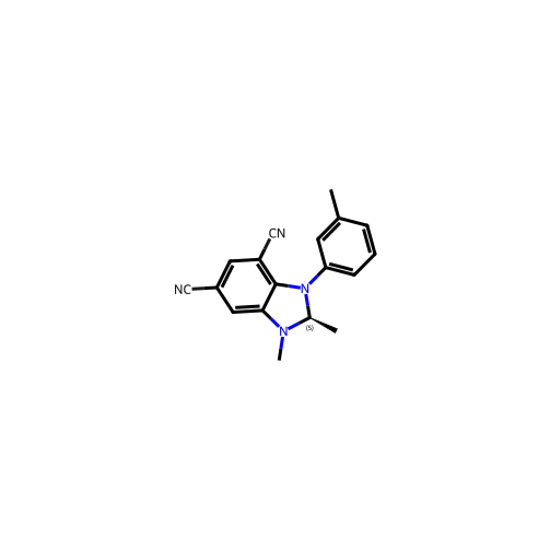 Cc1cccc(N2c3c(C#N)cc(C#N)cc3N(C)[C@@H]2C)c1